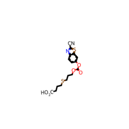 N#Cc1nc2ccc(OC(=O)OCCCSCCCC(=O)O)cc2s1